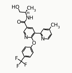 Cc1ccnc(-c2cc(C(=O)N[C@H](C)CO)cnc2Oc2ccc(C(F)(F)F)cc2)c1